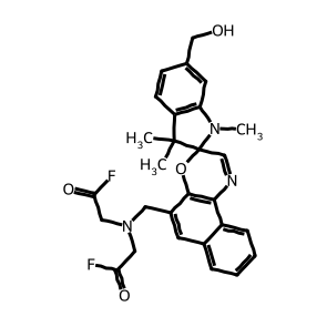 CN1c2cc(CO)ccc2C(C)(C)C12C=Nc1c(c(CN(CC(=O)F)CC(=O)F)cc3ccccc13)O2